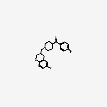 O=C(c1ccc(F)cc1)C1CCN(CC2CSc3ccc(F)cc3C2)CC1